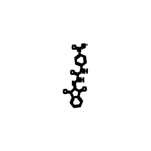 O=C(NN=c1c(=O)c2ccccc2c1=O)Nc1ccc([N+](=O)[O-])cc1